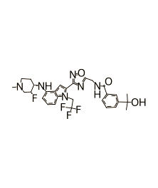 CN1CC[C@@H](Nc2cccc3c2cc(-c2noc(CNC(=O)c4cccc(C(C)(C)O)c4)n2)n3CC(F)(F)F)[C@@H](F)C1